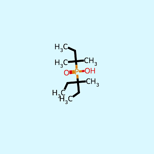 CCC(C)(C)P(=O)(O)C(C)(CC)CC